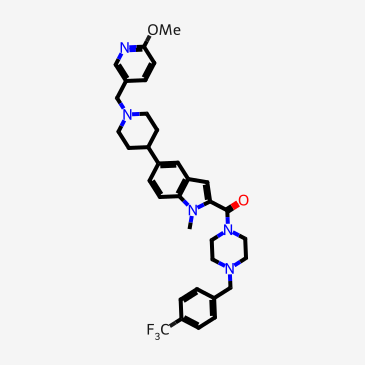 COc1ccc(CN2CCC(c3ccc4c(c3)cc(C(=O)N3CCN(Cc5ccc(C(F)(F)F)cc5)CC3)n4C)CC2)cn1